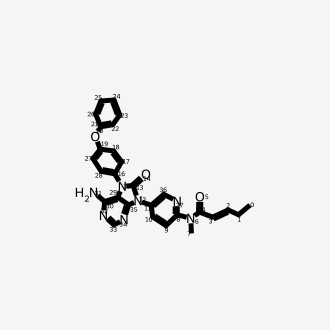 CC/C=C/C(=O)N(C)c1ccc(-n2c(=O)n(-c3ccc(Oc4ccccc4)cc3)c3c(N)ncnc32)cn1